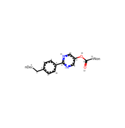 CCCCCCCCCCCc1ccc(-c2ncc(OC(=O)CCCCCCCCC)cn2)cc1